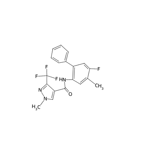 Cc1cc(NC(=O)c2cn(C)nc2C(F)(F)F)c(-c2ccccc2)cc1F